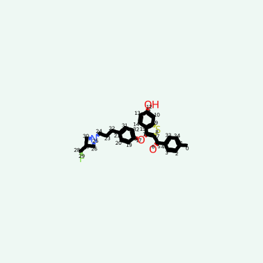 Cc1ccc(C(=O)c2sc3cc(O)ccc3c2Oc2ccc(CCCN3CC(CF)C3)cc2)cc1